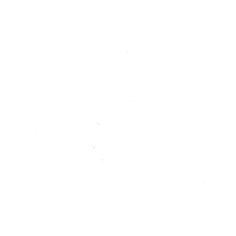 CNc1ccc(Cl)cc1C(=O)N(CCc1cccc(C(F)(F)F)c1)Cc1ccc(OCC(=O)OC)cc1